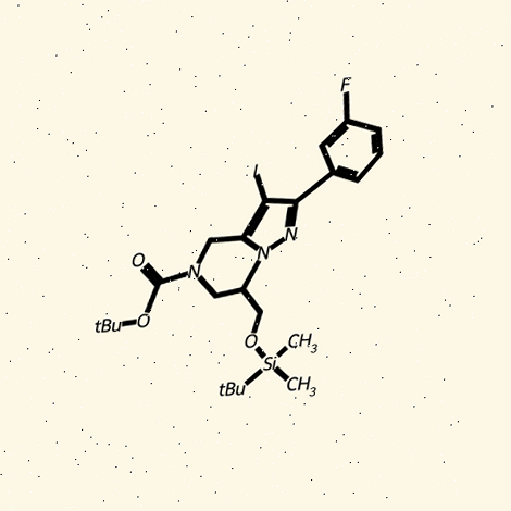 CC(C)(C)OC(=O)N1Cc2c(I)c(-c3cccc(F)c3)nn2C(CO[Si](C)(C)C(C)(C)C)C1